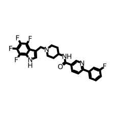 O=C(NC1CCN(Cc2c[nH]c3c(F)c(F)c(F)c(F)c23)CC1)c1ccc(-c2cccc(F)c2)nc1